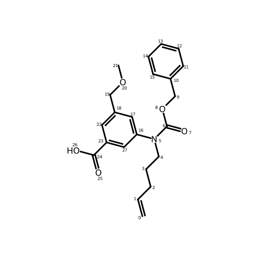 C=CCCCN(C(=O)OCc1ccccc1)c1cc(COC)cc(C(=O)O)c1